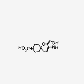 O=C(O)N1CCC2(CC=C3NNC=C3O2)CC1